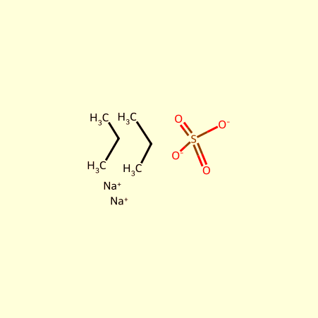 CCC.CCC.O=S(=O)([O-])[O-].[Na+].[Na+]